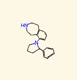 c1ccc(C2CCCN2c2cccc3c2CCNCC3)cc1